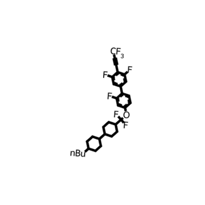 CCCCC1CCC(C2CCC(C(F)(F)Oc3ccc(-c4cc(F)c(C#CC(F)(F)F)c(F)c4)c(F)c3)CC2)CC1